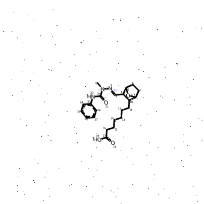 CN(/N=C/C1C2CCC(O2)C1CCCCCCC(=O)O)C(=O)Nc1ccccc1